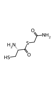 NC(=O)CSC(=O)[C@@H](N)CS